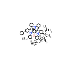 Cc1ccc(-c2ccccc2)cc1N1c2cc(C(C)(C)C)ccc2B2c3cc4c(cc3N(c3cc5c(cc3C)C(C)(C)CC5(C)C)c3cc(N(c5ccccc5)c5ccccc5)cc1c32)C(C)(C)CCC4(C)C